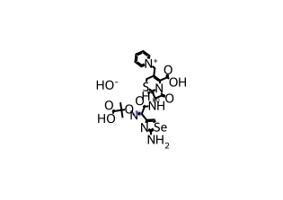 CC(C)(O/N=C(\C(=O)N[C@@H]1C(=O)N2C(C(=O)O)=C(C[n+]3ccccc3)CS[C@H]12)c1c[se]c(N)n1)C(=O)O.[OH-]